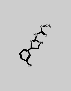 COC(=O)NC1=NC(c2cccc(O)c2)CN1